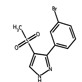 CS(=O)(=O)c1c[nH]nc1-c1cccc(Br)c1